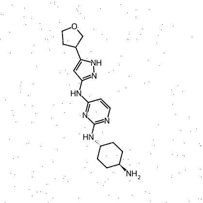 N[C@H]1CC[C@H](Nc2nccc(Nc3cc(C4CCOC4)[nH]n3)n2)CC1